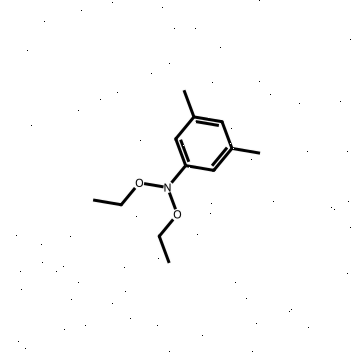 CCON(OCC)c1cc(C)cc(C)c1